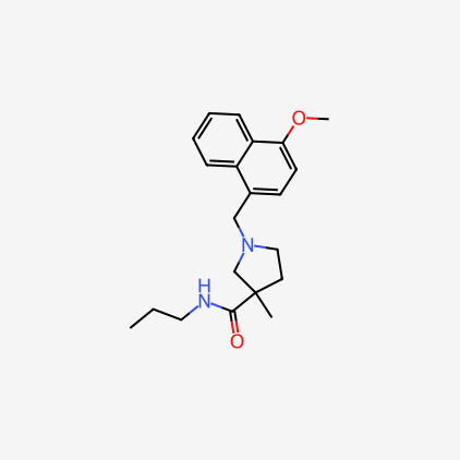 CCCNC(=O)C1(C)CCN(Cc2ccc(OC)c3ccccc23)C1